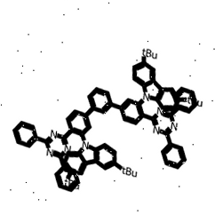 CC(C)(C)c1ccc2c(c1)c1cc(C(C)(C)C)ccc1n2-c1cc(-c2cccc(-c3ccc(-c4nc(-c5ccccc5)nc(-c5ccccc5)n4)c(-n4c5ccc(C(C)(C)C)cc5c5cc(C(C)(C)C)ccc54)c3)c2)ccc1-c1nc(-c2ccccc2)nc(-c2ccccc2)n1